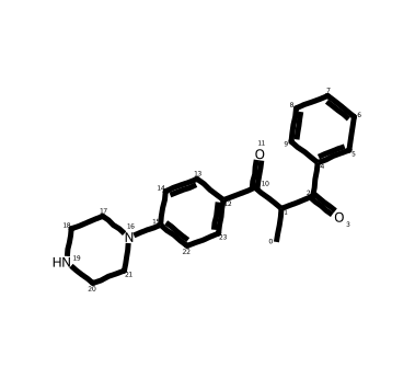 CC(C(=O)c1ccccc1)C(=O)c1ccc(N2CCNCC2)cc1